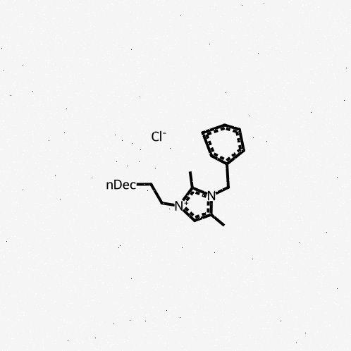 CCCCCCCCCCCC[n+]1cc(C)n(Cc2ccccc2)c1C.[Cl-]